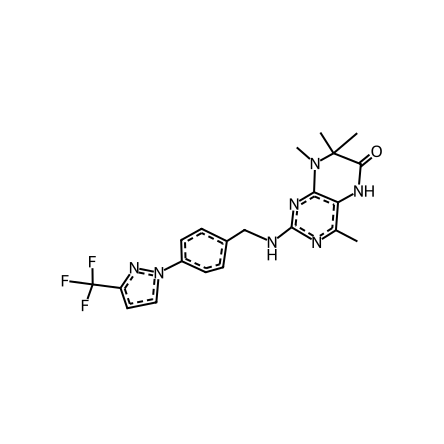 Cc1nc(NCc2ccc(-n3ccc(C(F)(F)F)n3)cc2)nc2c1NC(=O)C(C)(C)N2C